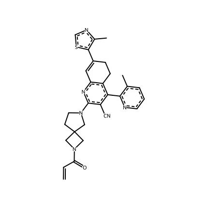 C=CC(=O)N1CC2(CCN(c3nc4c(c(-c5ncccc5C)c3C#N)CCC(c3scnc3C)=C4)C2)C1